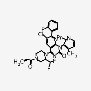 C=CC(=O)N1CCN(c2nc(=O)n(-c3c(C)ccnc3C(C)C)c3nc(-c4ccccc4F)c(Cl)cc23)C(C(F)F)C1